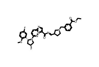 CCOC(=O)c1cccc(CN2CCC(/C=N/C(=O)c3cnc4ccc(N5C[C@@H](F)C[C@@H]5c5cc(F)ccc5SC)nn34)C2)c1